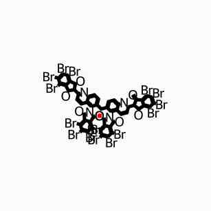 O=C1c2c(Br)c(Br)c(Br)c(Br)c2C(=O)C1c1ccc2c(N3C(=O)c4c(Br)c(Br)c(Br)c(Br)c4C3=O)c(Cc3ccc4nc(C5C(=O)c6c(Br)c(Br)c(Br)c(Br)c6C5=O)ccc4c3N3C(=O)c4c(Br)c(Br)c(Br)c(Br)c4C3=O)ccc2n1